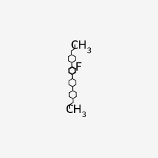 CCCC1CCC(c2ccc(C3CCC(C4CCC(CCC)CC4)CC3)cc2F)CC1